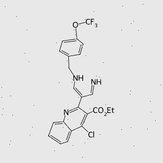 CCOC(=O)c1c(/C(C=N)=C/NCc2ccc(OC(F)(F)F)cc2)nc2ccccc2c1Cl